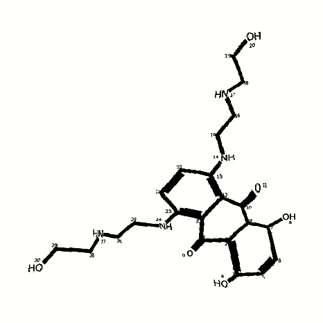 O=C1C2=C(O)C=CC(O)C2C(=O)c2c(NCCNCCO)ccc(NCCNCCO)c21